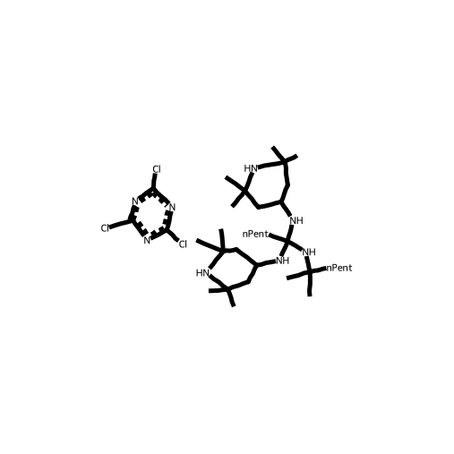 CCCCCC(C)(C)NC(CCCCC)(NC1CC(C)(C)NC(C)(C)C1)NC1CC(C)(C)NC(C)(C)C1.Clc1nc(Cl)nc(Cl)n1